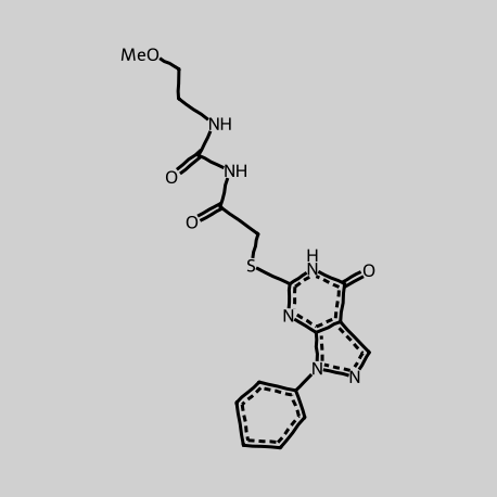 COCCNC(=O)NC(=O)CSc1nc2c(cnn2-c2ccccc2)c(=O)[nH]1